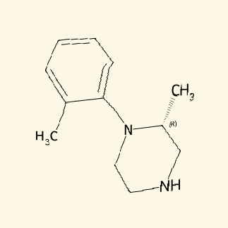 Cc1ccccc1N1CCNC[C@H]1C